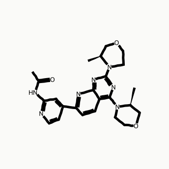 CC(=O)Nc1cc(-c2ccc3c(N4CCOC[C@@H]4C)nc(N4CCOC[C@@H]4C)nc3n2)ccn1